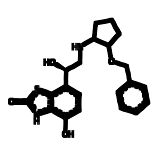 O=c1[nH]c2c(O)ccc([C@@H](O)CNC3CCCC3OCc3ccccc3)c2s1